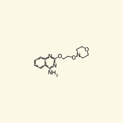 Nc1nc(OCCON2CCOCC2)nc2ccccc12